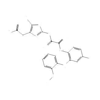 COc1ccccc1Oc1cc(F)ccc1NC(=O)C(=O)Nc1nc(CC(=O)O)c(Cl)s1